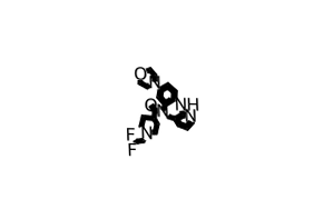 O=C(C1CCN(CC(F)F)CC1)N1Cc2cccnc2Nc2ccc(N3CCOCC3)cc21